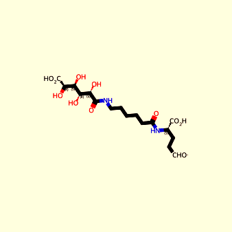 O=[C]CC[C@H](NC(=O)CCCCCNC(=O)[C@@H](O)[C@H](O)[C@H](O)[C@@H](O)C(=O)O)C(=O)O